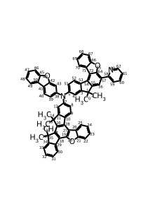 CC1(C)c2cc(N(c3ccc4c(c3)C(C)(C)c3c5c(c6oc7ccccc7c6c3-4)-c3ccccc3C5(C)C)c3ccc4c(c3)oc3ccccc34)ccc2-c2c1cc(-c1ccccn1)c1oc3ccccc3c21